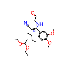 CCCC.CCOC(C)OCC.COc1ccc(/C(=C/C#N)NCC=O)cc1OC